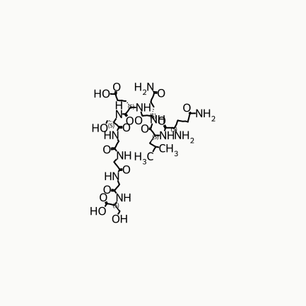 CC(C)C[C@H](NC(=O)[C@@H](N)CCC(N)=O)C(=O)N[C@@H](CCC(N)=O)C(=O)N[C@@H](CCC(=O)O)C(=O)N[C@@H](CO)C(=O)NCC(=O)NCC(=O)NCC(=O)N[C@@H](CO)C(=O)O